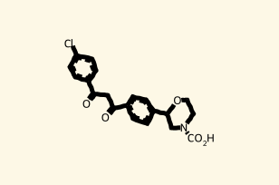 O=C(CC(=O)c1ccc(C2CN(C(=O)O)CCO2)cc1)c1ccc(Cl)cc1